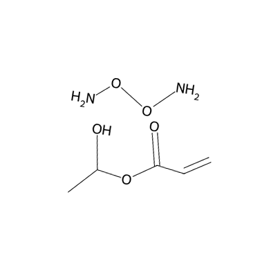 C=CC(=O)OC(C)O.NOON